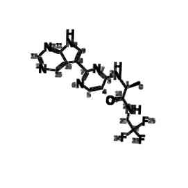 C[C@H](Nc1ccnc(-c2c[nH]c3ncncc23)n1)C(=O)NCC(F)(F)F